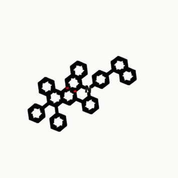 c1ccc(-c2c(-c3ccccc3)c3cc(-c4ccccc4N(c4ccc(-c5cccc6ccccc56)cc4)c4cccc5ccccc45)ccc3c3ccccc23)cc1